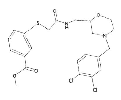 COC(=O)c1cccc(SCC(=O)NCC2CN(Cc3ccc(Cl)c(Cl)c3)CCO2)c1